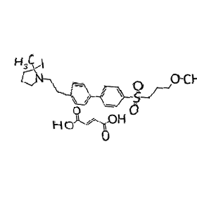 COCCCS(=O)(=O)c1ccc(-c2ccc(CCN3CCCC3(C)I)cc2)cc1.O=C(O)C=CC(=O)O